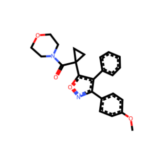 COc1ccc(-c2noc(C3(C(=O)N4CCOCC4)CC3)c2-c2ccccc2)cc1